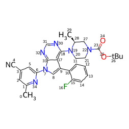 Cc1cc(C#N)cc(-n2cc(-c3ccccc3F)c3c(N4CCN(C(=O)OC(C)(C)C)C[C@@H]4C)ncnc32)n1